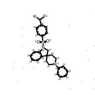 O=S(=O)(c1ccc(C(F)F)cc1)N1CC2(CCN(c3ccccc3)CC2)c2ccccc21